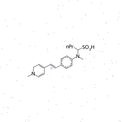 CCCC(N(C)c1ccc(/C=C/C2=CCN(C)C=C2)cc1)S(=O)(=O)O